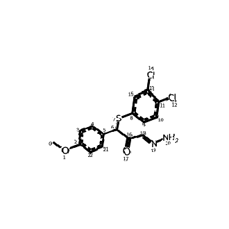 COc1ccc(C(Sc2ccc(Cl)c(Cl)c2)C(=O)C=NN)cc1